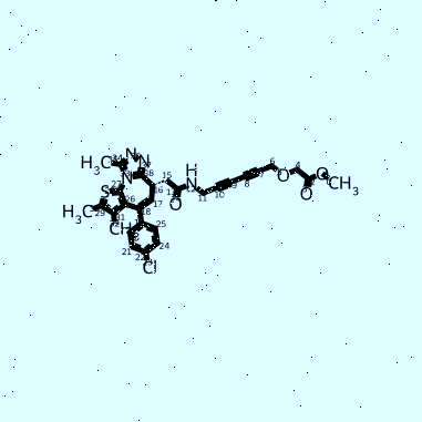 COC(=O)COCC#CC#CCNC(=O)C[C@@H]1C=C(c2ccc(Cl)cc2)c2c(sc(C)c2C)-n2c(C)nnc21